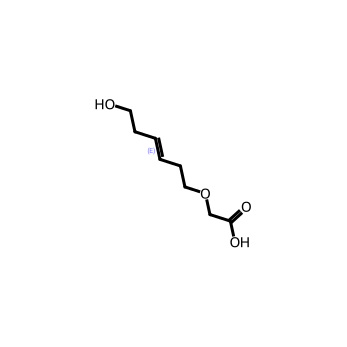 O=C(O)COCC/C=C/CCO